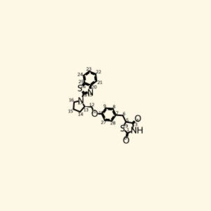 O=C1NC(=O)C(Cc2ccc(OC[C@H]3CCCN3c3nc4ccccc4s3)cc2)S1